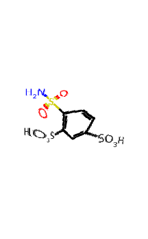 NS(=O)(=O)c1ccc(S(=O)(=O)O)cc1S(=O)(=O)O